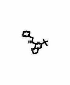 CC(C)(C)C1=CN2CCN=C2C(NCc2cccnc2)=N1